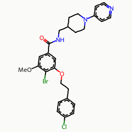 COc1cc(C(=O)NCC2CCN(c3ccncc3)CC2)cc(OCCc2ccc(Cl)cc2)c1Br